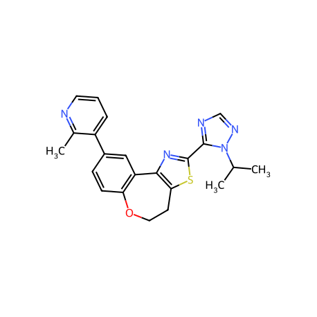 Cc1ncccc1-c1ccc2c(c1)-c1nc(-c3ncnn3C(C)C)sc1CCO2